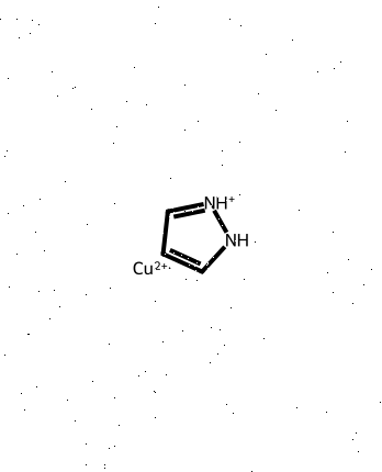 [Cu+2].c1c[nH][nH+]c1